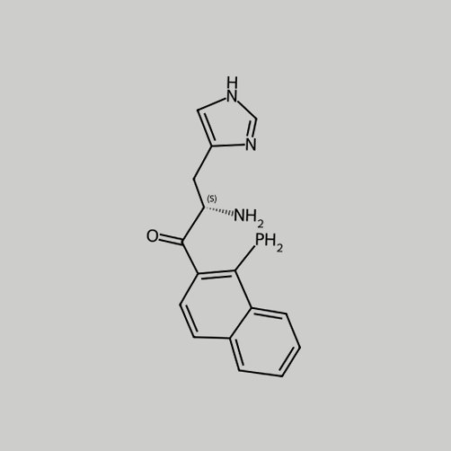 N[C@@H](Cc1c[nH]cn1)C(=O)c1ccc2ccccc2c1P